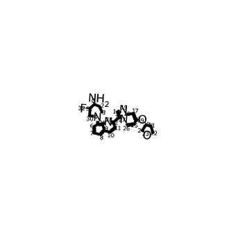 N[C@H]1CCN(c2cccc3ccc(-c4cnc5cc(O[C@H]6CCOC6)ccn45)nc23)C[C@H]1F